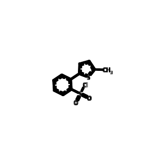 Cc1ccc(-c2ccccc2S(=O)(=O)Cl)s1